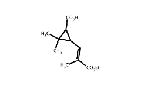 CCOC(=O)/C(C)=C/C1C(C(=O)O)C1(C)C